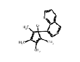 CC1=C(C)[C]([Cr])(c2cccc3cccnc23)C(C)=C1C